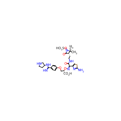 CC1(C)[C@H](CCNC(=O)/C(=N\O[C@@H](COc2ccc(C(=N)NC3CCNC3)cc2)C(=O)O)c2csc(N)n2)C(=O)N1OS(=O)(=O)O